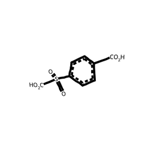 O=C(O)c1ccc(S(=O)(=O)C(=O)O)cc1